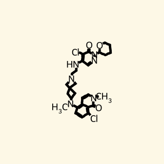 CN(c1ccc(Cl)c2c(=O)n(C)ccc12)C1CC2(C1)CN(CCNc1cnn(C3CCCCO3)c(=O)c1Cl)C2